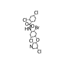 O=S(=O)(Nc1cc(Cl)c(Oc2cncc(Cl)c2)cc1Br)c1ccc(Cl)cc1Cl